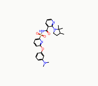 CC1CCN(c2ncccc2C(=O)NS(=O)(=O)c2cccc(Oc3cccc(N(C)C)c3)n2)C1(C)C